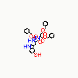 O=C(CC(NC(=O)C(Cc1c[nH]c2ccc(O)cc12)NC(=O)OCc1ccccc1)C(=O)OCc1ccccc1)OCc1ccccc1